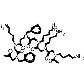 CC(=O)CN(Cc1ccccc1)C(=O)CN(CCCCN)C(=O)CN(Cc1ccccc1)C(=O)CN(CCCCN)C(=O)CN(CCCCN)C(=O)CN(CCCCN)C(C)=O